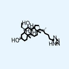 CC[C@@H]1C2C[C@H](O)CCC2(C)[C@H]2CCC3(C)[C@@H]([C@H](C)CCCc4nnn[nH]4)CC[C@H]3[C@H]2[C@@H]1O